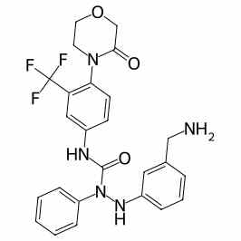 NCc1cccc(NN(C(=O)Nc2ccc(N3CCOCC3=O)c(C(F)(F)F)c2)c2ccccc2)c1